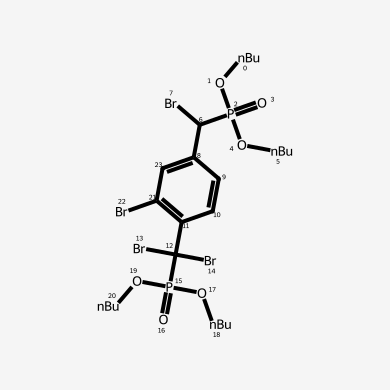 CCCCOP(=O)(OCCCC)C(Br)c1ccc(C(Br)(Br)P(=O)(OCCCC)OCCCC)c(Br)c1